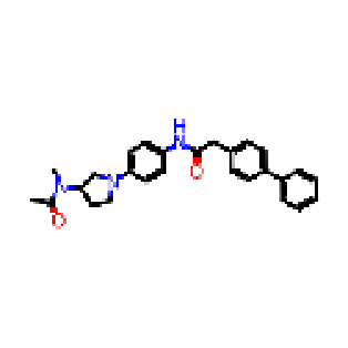 CC(=O)N(C)C1CCN(c2ccc(NC(=O)Cc3ccc(-c4ccccc4)cc3)cc2)C1